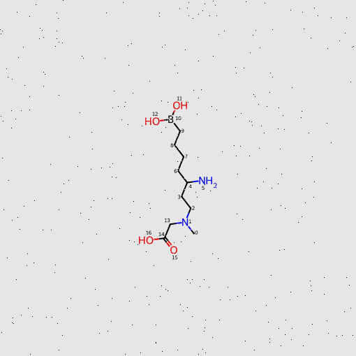 CN(CCC(N)CCCCB(O)O)CC(=O)O